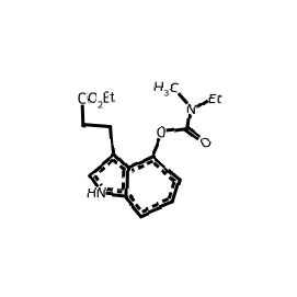 CCOC(=O)CCc1c[nH]c2cccc(OC(=O)N(C)CC)c12